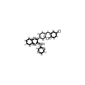 Clc1ccc(Cl)c(CN2CCN(c3nc4ccccc4nc3Nc3cnccn3)CC2)c1